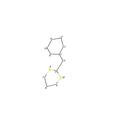 C1CCC(CC2SCCCS2)CC1